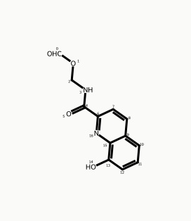 O=COCNC(=O)c1ccc2cccc(O)c2n1